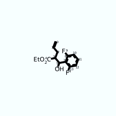 C=CCC(C(=O)OCC)C(O)c1c(F)cccc1F